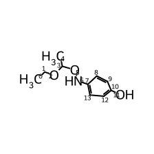 CCOC(C)ONc1ccc(O)cc1